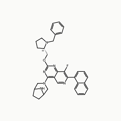 Fc1c(-c2cccc3ccccc23)ncc2c(N3CC4CCC(C3)N4)nc(OC[C@@H]3CCCN3Cc3ccccc3)nc12